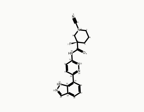 N#CN1CCC[C@](F)(C(=O)Nc2ccc(-c3cccc4cn[nH]c34)nn2)C1